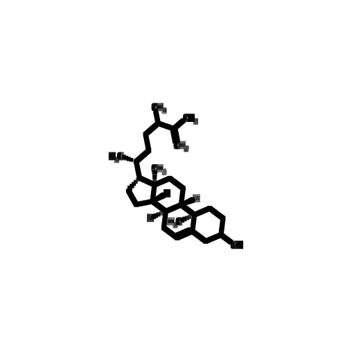 C=C(C)C(C)CC[C@@H](C)[C@H]1CC[C@H]2[C@@H]3CC=C4CC(O)CC[C@]4(C)[C@H]3CC[C@]12C